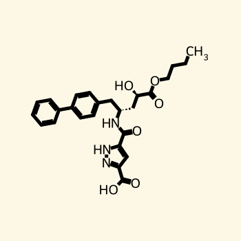 CCCCOC(=O)[C@H](O)C[C@@H](Cc1ccc(-c2ccccc2)cc1)NC(=O)c1cc(C(=O)O)n[nH]1